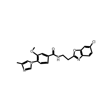 COc1cc(C(=O)NCCc2nc3ccc(Cl)cc3o2)ccc1-n1cnc(C)c1